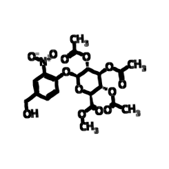 COC(=O)[C@H]1O[C@@H](Oc2ccc(CO)cc2[N+](=O)[O-])[C@H](OC(C)=O)[C@@H](OC(C)=O)[C@@H]1OC(C)=O